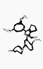 COc1cc(OC)cc(-c2nn(-c3cc(N4CCC(O)C4)ccc3C)c(=O)c3c2CCC3)c1